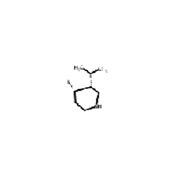 CC(C)[C@@H]1CNCC[C@@H]1I